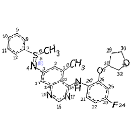 Cc1cc(/N=S(\C)c2ccccc2)cc2ncnc(Nc3ccc(F)cc3OC3CCOC3)c12